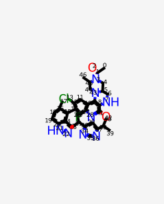 CC(=O)N1CC2CNc3c(c4cc(Cl)c(-c5c(C)ccc6[nH]ncc56)c(F)c4n(-c4c(C(C)C)ncnc4C(C)C)c3=O)N2CC1C